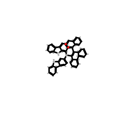 c1ccc2c(-c3c(N(c4ccc5c(c4)oc4ccccc45)c4cccc5c4oc4ccccc45)c4ccccc4c4ccccc34)cccc2c1